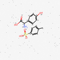 Cc1ccc(S(=O)(=O)O)cc1.N[C@@H](C(=O)O)c1ccc(O)cc1